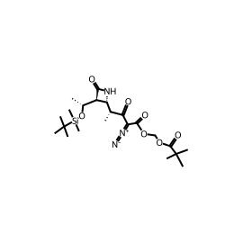 C[C@@H](O[Si](C)(C)C(C)(C)C)[C@H]1C(=O)N[C@@H]1[C@@H](C)C(=O)C(=[N+]=[N-])C(=O)OCOC(=O)C(C)(C)C